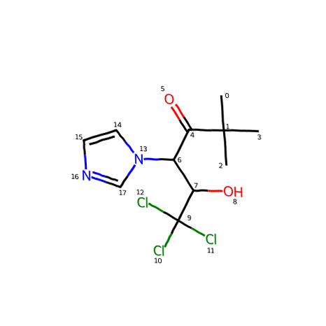 CC(C)(C)C(=O)C(C(O)C(Cl)(Cl)Cl)n1ccnc1